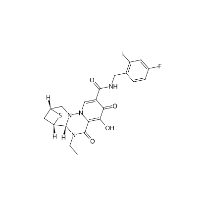 CCN1C(=O)c2c(O)c(=O)c(C(=O)NCc3ccc(F)cc3I)cn2N2C[C@H]3C[C@H](S3)[C@@H]12